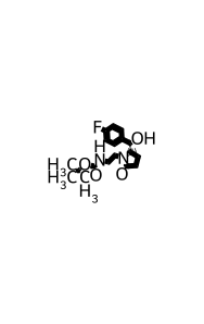 CC(C)(C)OC(=O)NCCN1C(=O)CC[C@H]1C(O)c1ccc(F)cc1